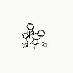 CC1=C(C)C(C)[C]([Hf+2]([C]2=C(C[Si](C)(C)C)C=CC2)[SiH](c2ccccc2)c2ccccc2)=C1C.[Cl-].[Cl-]